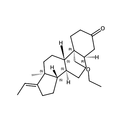 CC=C1CC[C@H]2[C@@H]3CC[C@@H]4CC(=O)CC[C@]4(COCC)[C@H]3CC[C@]12C